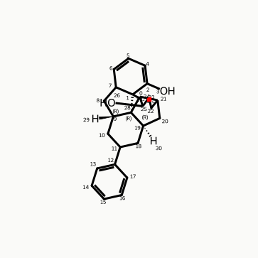 CC12C(O)=CC=CC1C[C@H]1CC(c3ccccc3)C[C@@H]3Cc4cccc(O)c4[C@]132